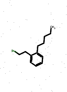 CCCCCc1ccccc1CCBr